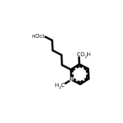 CCCCCCCCCCCCc1c(C(=O)O)ccc[n+]1C